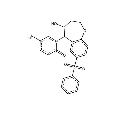 O=c1ccc([N+](=O)[O-])cn1C1c2cc(S(=O)(=O)c3ccccc3)ccc2OCCC1O